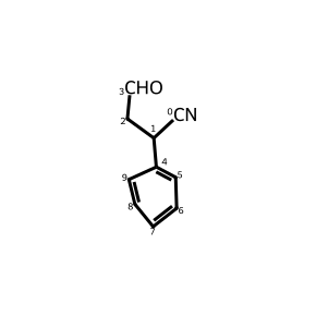 N#CC(CC=O)c1ccccc1